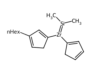 CCCCCCC1=CC[C]([Zr]([C]2=CC=CC2)=[Si](C)C)=C1